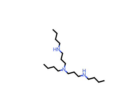 CCCCNCCCN(CCCC)CCCNCCCC